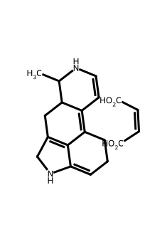 CC1NC=CC2=C3CCC=C4NCC(=C43)CC21.O=C(O)/C=C\C(=O)O